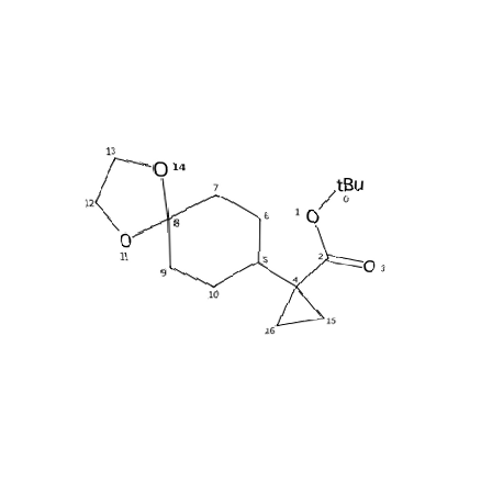 CC(C)(C)OC(=O)C1(C2CCC3(CC2)OCCO3)CC1